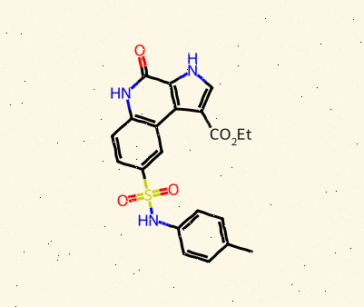 CCOC(=O)c1c[nH]c2c(=O)[nH]c3ccc(S(=O)(=O)Nc4ccc(C)cc4)cc3c12